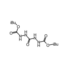 CCC(C)OC(=O)NNC(=O)NNC(=O)OC(C)CC